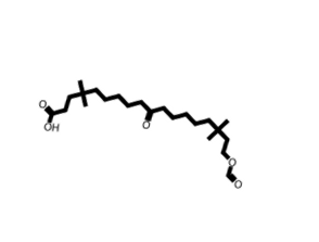 CC(C)(CCCCCC(=O)CCCCCC(C)(C)CCC(=O)O)CCOC=O